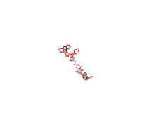 CC1(C)c2cc(/C=C/c3ccc4c(c3)C3(Cc5ccccc5C3)c3cc(N5C6=C(CCC=C6)Cc6ccccc65)ccc3-4)ccc2-c2ccc(N3CCCC4=C3CCC=C4)cc21